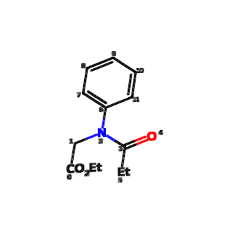 CCOC(=O)CN(C(=O)CC)c1ccccc1